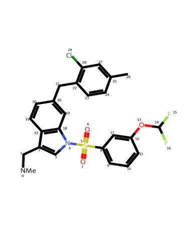 CNCc1cn(S(=O)(=O)c2cccc(OC(F)F)c2)c2cc(Cc3ccc(C)cc3Cl)ccc12